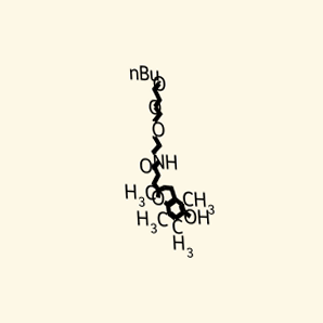 CCCCOCCOCCOCCCNC(=O)CCC1(C)CCc2c(C)c(O)c(C)c(C)c2O1